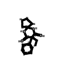 CCC1(c2ccccc2)C(=O)OC2(CCCC2)OC1=O